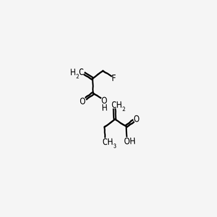 C=C(CC)C(=O)O.C=C(CF)C(=O)O